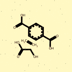 C=C.O=C(O)CO.O=C(O)c1ccc(C(=O)O)cc1